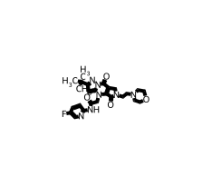 CC(C)(C)c1cc2n(CC(=O)Nc3ccc(F)cn3)c3c(c(=O)n2n1)CN(CCN1CCOCC1)C3=O